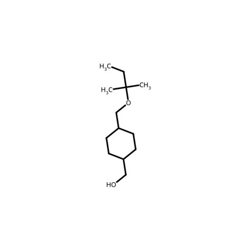 CCC(C)(C)OCC1CCC(CO)CC1